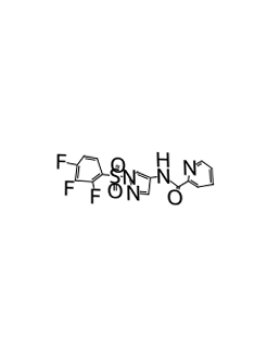 O=C(Nc1cnn(S(=O)(=O)c2ccc(F)c(F)c2F)c1)c1ccccn1